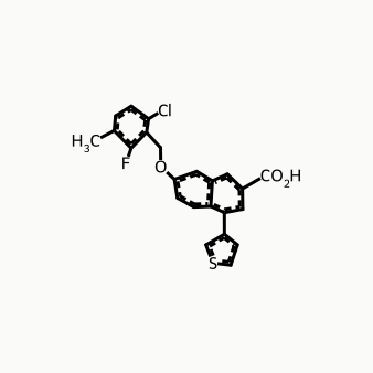 Cc1ccc(Cl)c(COc2ccc3c(-c4ccsc4)cc(C(=O)O)cc3c2)c1F